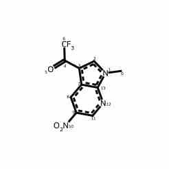 Cn1cc(C(=O)C(F)(F)F)c2cc([N+](=O)[O-])cnc21